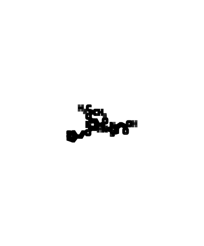 CC(C)Oc1cc(C(=O)Nc2nc(CC(=O)O)cs2)cc(OCCc2ccsc2)n1